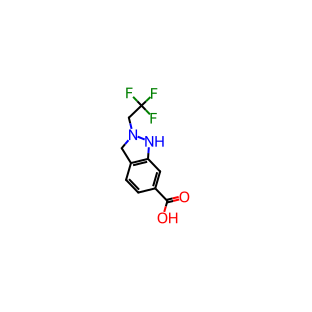 O=C(O)c1ccc2c(c1)NN(CC(F)(F)F)C2